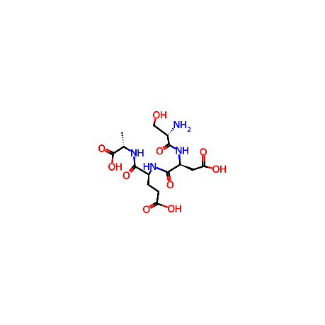 C[C@H](NC(=O)[C@H](CCC(=O)O)NC(=O)[C@H](CC(=O)O)NC(=O)[C@@H](N)CO)C(=O)O